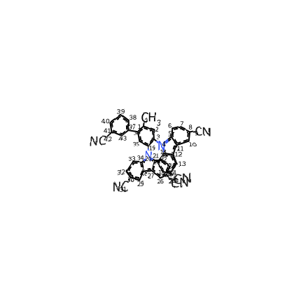 Cc1cc(-n2c3ccc(C#N)cc3c3cc(C#N)ccc32)c(-n2c3ccc(C#N)cc3c3cc(C#N)ccc32)cc1-c1cccc(C#N)c1